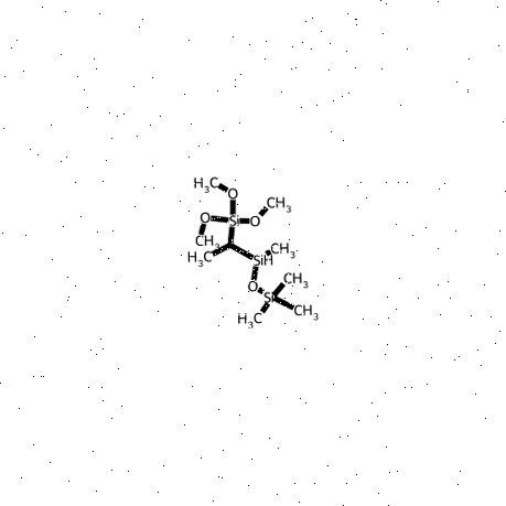 CO[Si](OC)(OC)C(C)[SiH](C)O[Si](C)(C)C